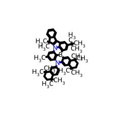 Cc1cc2c3c(c1)-n1c4c(c5cc(C(C)(C)C)cc(c51)B3c1cc3c(cc1N2c1ccc2c(c1)C(C)(C)CCC2(C)C)C(C)(C)CCC3(C)C)-c1ccccc1C4(C)C